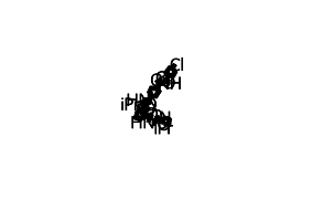 CC(C)C(NC(=O)[C@@H]1CCCN1C(=O)[C@@H](NC(=O)c1ccc(C(=O)NS(=O)(=O)c2ccc(Cl)cc2)cc1)C(C)C)C(=O)c1ncco1